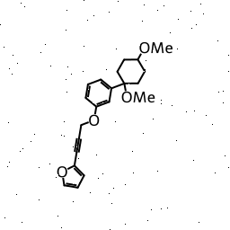 COC1CCC(OC)(c2cccc(OCC#Cc3ccco3)c2)CC1